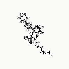 Cl.NCCCCCCC(Oc1c(-c2csc(N3CCOCC3)n2)ccc(F)c1F)C(N)=O